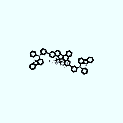 CC(C)(C)C1(C(C)(C)C)c2c(ccc3cc(-c4cccc(N(c5ccccc5)c5cccc6c5sc5ccccc56)c4)ccc23)-c2c1c1ccc(-c3cccc(N(c4ccccc4)c4cccc5c4sc4ccccc45)c3)cc1c1ccccc21